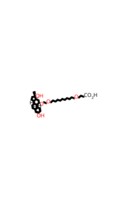 C#C[C@]1(O)CC[C@H]2[C@@H]3CCc4cc(O)ccc4[C@H]3[C@@H](OCCOCCCCCCCCCCCOCCCC(=O)O)C[C@@]21C